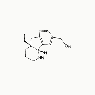 CC[C@]12CCCN[C@H]1c1cc(CO)ccc1C2